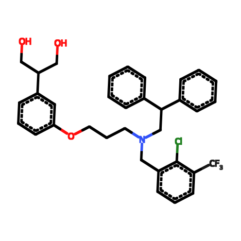 OCC(CO)c1cccc(OCCCN(Cc2cccc(C(F)(F)F)c2Cl)CC(c2ccccc2)c2ccccc2)c1